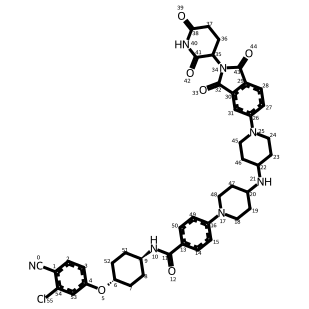 N#Cc1ccc(O[C@H]2CC[C@H](NC(=O)c3ccc(N4CCC(NC5CCN(c6ccc7c(c6)C(=O)N(C6CCC(=O)NC6=O)C7=O)CC5)CC4)cc3)CC2)cc1Cl